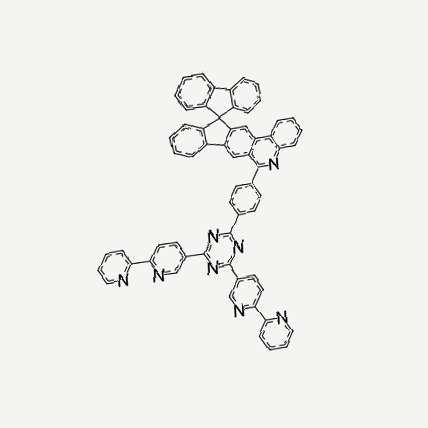 c1ccc(-c2ccc(-c3nc(-c4ccc(-c5nc6ccccc6c6cc7c(cc56)-c5ccccc5C75c6ccccc6-c6ccccc65)cc4)nc(-c4ccc(-c5ccccn5)nc4)n3)cn2)nc1